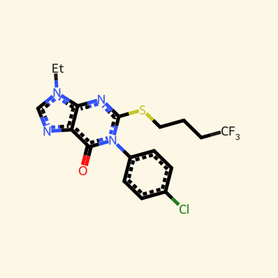 CCn1cnc2c(=O)n(-c3ccc(Cl)cc3)c(SCCCC(F)(F)F)nc21